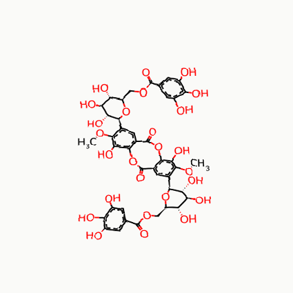 COc1c([C@@H]2O[C@H](COC(=O)c3cc(O)c(O)c(O)c3)[C@@H](O)[C@H](O)[C@H]2O)cc2c(c1O)OC(=O)c1cc([C@@H]3O[C@H](COC(=O)c4cc(O)c(O)c(O)c4)[C@@H](O)[C@H](O)[C@H]3O)c(OC)c(O)c1OC2=O